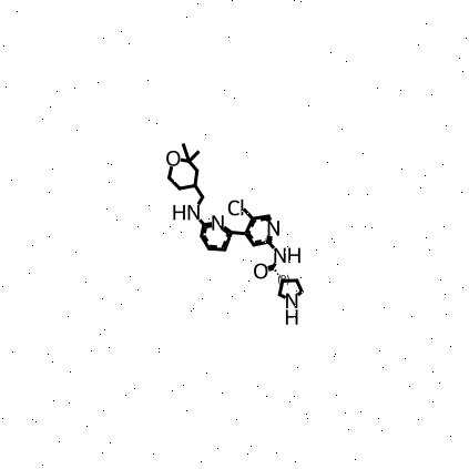 CC1(C)CC(CNc2cccc(-c3cc(NC(=O)[C@@H]4CCNC4)ncc3Cl)n2)CCO1